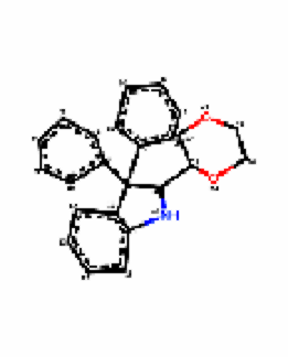 c1ccc(C2(c3ccccc3)c3ccccc3NC2C2COCCO2)cc1